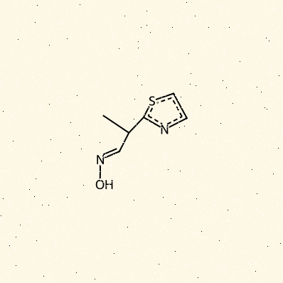 CC(C=NO)c1nccs1